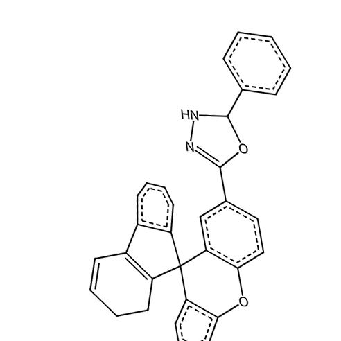 C1=CC2=C(CC1)C1(c3ccccc3Oc3ccc(C4=NNC(c5ccccc5)O4)cc31)c1ccccc12